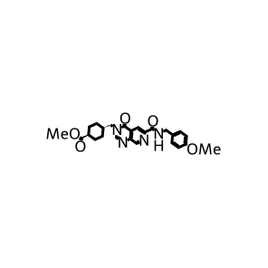 COc1ccc(CNC(=O)c2cc3c(=O)n(C[C@H]4CC[C@H](C(=O)OC)CC4)cnc3cn2)cc1